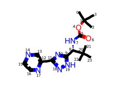 CC(C)(C)OC(=O)N[C@@H](c1nc(-c2cnccn2)n[nH]1)C(C)(C)C